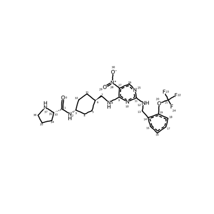 O=C(N[C@H]1CC[C@H](CNc2nc(NCc3ccccc3OC(F)(F)F)ncc2[N+](=O)[O-])CC1)[C@@H]1CCCN1